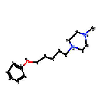 CC(=O)N1CCN(CCCCCOc2ccccc2)CC1